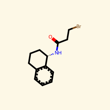 O=C(CCBr)N[C@H]1CCCc2ccccc21